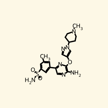 Cc1cc(-c2cnc(N)c(Oc3cnn(C4CCN(C)CC4)c3)n2)cc(S(N)(=O)=O)c1